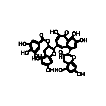 O=C(O[C@@H]1Cc2c(O)cc(O)cc2O[C@@H]1c1cc(O)c(=O)c2c(O)c(O)cc([C@H]3Oc4cc(O)cc(O)c4C[C@H]3O)c2c1)c1cc(O)c(O)c(O)c1